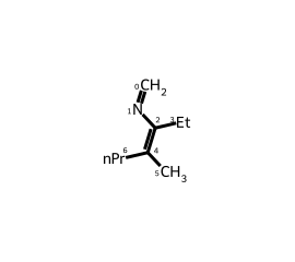 C=N/C(CC)=C(/C)CCC